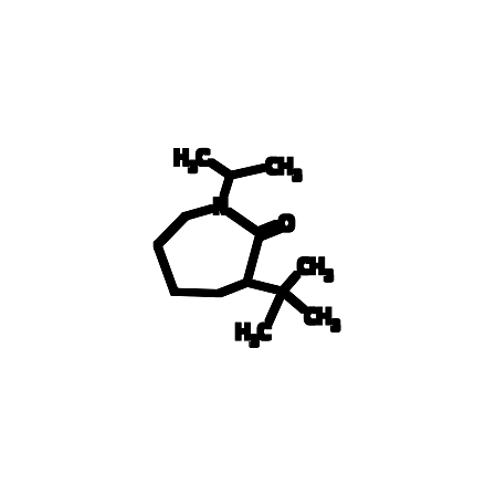 CC(C)N1CCCCC(C(C)(C)C)C1=O